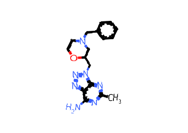 Cc1nc(N)c2nnn(CC3CN(Cc4ccccc4)CCO3)c2n1